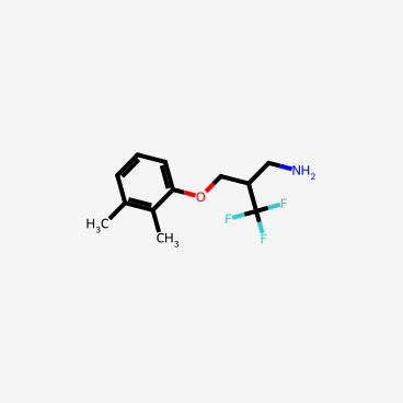 Cc1cccc(OCC(CN)C(F)(F)F)c1C